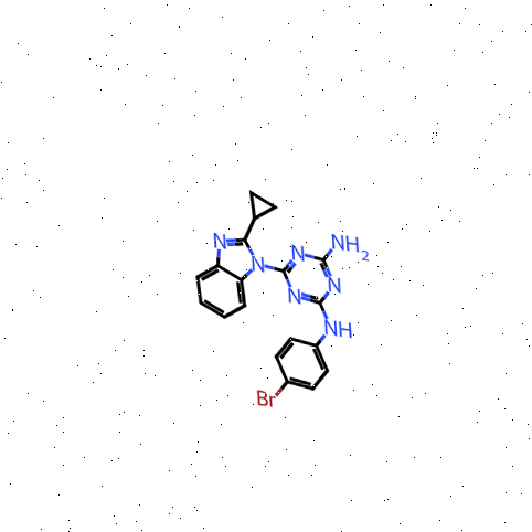 Nc1nc(Nc2ccc(Br)cc2)nc(-n2c(C3CC3)nc3ccccc32)n1